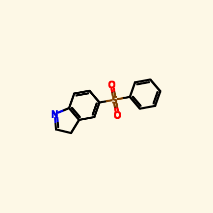 O=S(=O)(c1ccccc1)c1ccc2c(c1)CC=N2